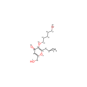 C=CCc1oc(CO)cc(=O)c1OCCCCCBr